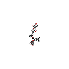 c1ccc2c(-n3c4ccccc4c4cc5c(cc43)c3ccccc3n5-c3cccc4cc(-c5ccc6c(c5)c5ccccc5n6-c5ccc(N(c6ccc(-n7c8ccccc8c8ccccc87)cc6)c6ccc(-n7c8ccccc8c8ccccc87)cc6)cc5)ccc34)cccc2c1